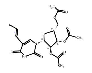 CC(=O)OC[C@H]1O[C@@H](n2cc(/C=C/I)c(=O)[nH]c2=O)[C@H](OC(C)=O)[C@H]1OC(C)=O